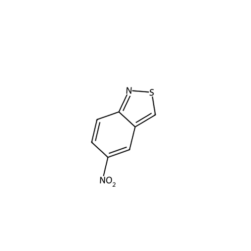 O=[N+]([O-])c1ccc2nscc2c1